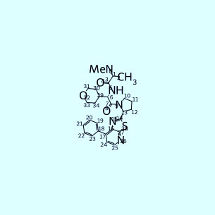 CN[C@@H](C)C(=O)N[C@H](C(=O)N1CCC[C@H]1c1nc2c(-c3ccccc3)ccnc2s1)C1CCOCC1